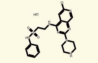 Cl.O=S(=O)(CCNc1nc(N2CCNCC2)nc2cnc(Cl)cc12)Nc1ccccc1